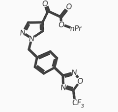 CCCOC(=O)C(=O)c1cnn(Cc2ccc(-c3noc(C(F)(F)F)n3)cc2)c1